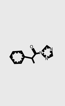 CC(C(=O)n1cncn1)c1ccccc1